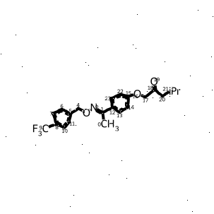 C/C(=N\OCc1ccc(C(F)(F)F)cc1)c1ccc(OCC(=O)CC(C)C)cc1